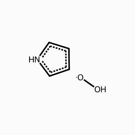 [O]O.c1cc[nH]c1